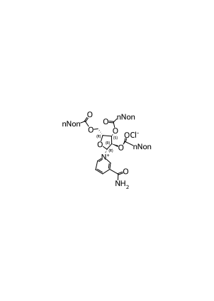 CCCCCCCCCC(=O)OC[C@H]1O[C@@H]([n+]2cccc(C(N)=O)c2)[C@H](OC(=O)CCCCCCCCC)[C@H]1OC(=O)CCCCCCCCC.[Cl-]